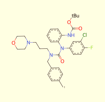 [CH]c1ccc(CN(CCCN2CCOCC2)C(=O)N(c2ccc(F)c(Cl)c2)c2ccccc2NC(=O)OC(C)(C)C)cc1